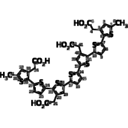 Cc1cc(CC(=O)O)c(-c2ccc(-c3sc(-c4ccc(-c5cc(CC(=O)O)c(-c6ccc(-c7sc(C)cc7CC(=O)O)s6)s5)s4)cc3CC(=O)O)s2)s1